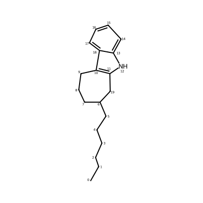 CCCCCCC1CCCc2c([nH]c3ccccc23)C1